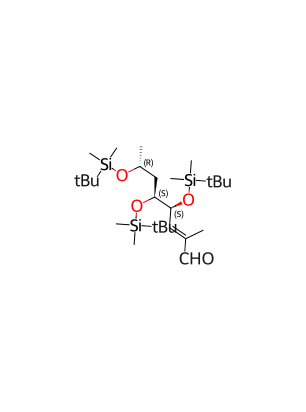 CC(C=O)=C[C@H](O[Si](C)(C)C(C)(C)C)[C@H](C[C@@H](C)O[Si](C)(C)C(C)(C)C)O[Si](C)(C)C(C)(C)C